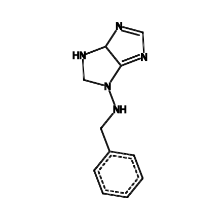 C1=NC2NCN(NCc3ccccc3)C2=N1